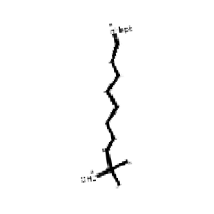 CCCCCCCCCCCCCCCC(C)(C)C=O